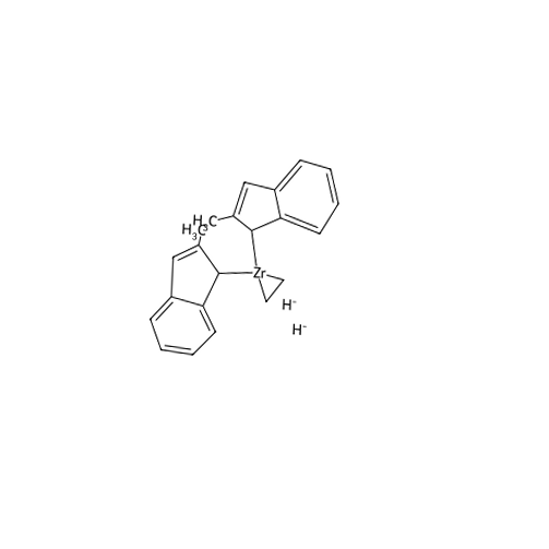 CC1=Cc2ccccc2[CH]1[Zr]1([CH]2C(C)=Cc3ccccc32)[CH2][CH2]1.[H-].[H-]